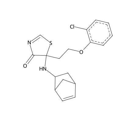 O=C1N=CSC1(CCOc1ccccc1Cl)NC1CC2C=CC1C2